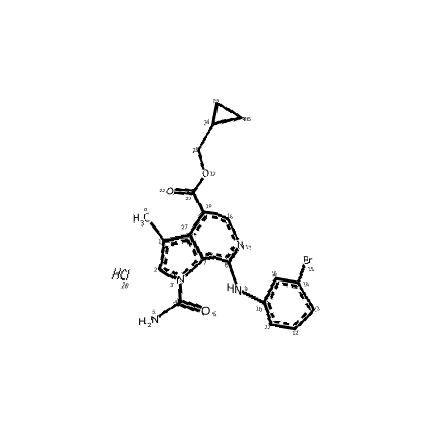 Cc1cn(C(N)=O)c2c(Nc3cccc(Br)c3)ncc(C(=O)OCC3CC3)c12.Cl